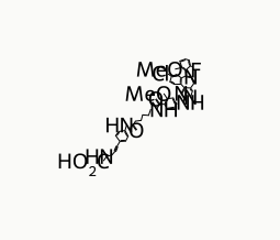 COc1cc(Nc2ncc3c(n2)-c2ccc(Cl)cc2C(c2c(F)cccc2OC)=NC3)ccc1C(=O)NCCCCCC(=O)Nc1ccc(C#CCNC(=O)O)cc1